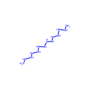 NNNNNNNNNNNNNN